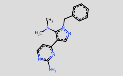 CN(C)c1c(-c2ccnc(N)n2)cnn1Cc1ccccc1